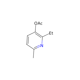 CCc1nc(C)ccc1OC(C)=O